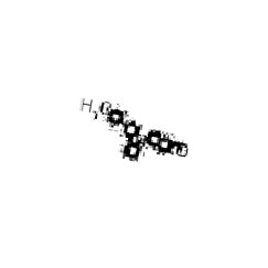 Cc1ccc(-c2ccc3c(c2)c2ccccc2n3-c2ccc3cc(C=O)ccc3c2)cc1